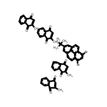 CC(C)(C)c1cc2ccc3c(Br)cc(Br)c4ccc(c1)c2c34.CC1=CC(=O)c2ccccc2C1=O.CC1=CC(=O)c2ccccc2C1=O.CC1=CC(=O)c2ccccc2C1=O.CC1=CC(=O)c2ccccc2C1=O